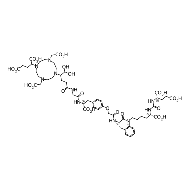 O=C(O)CCC(C(=O)O)N1CCN(CC(=O)O)CCN(C(CCC(=O)NCC(=O)N[C@@H](Cc2ccc(OCC(=O)N[C@@H](Cc3ccccc3)C(=O)NCCCC[C@H](NC(=O)N[C@@H](CCC(=O)O)C(=O)O)C(=O)O)cc2)C(=O)O)C(O)O)CCN(CC(=O)O)CC1